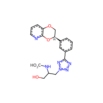 O=C(O)NC(CO)Cn1nnc(-c2cccc([C@@H]3COc4cccnc4O3)c2)n1